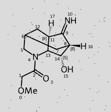 COCC(=O)N1CC2C[C@@H]3C(=N)[C@H](C2)C1[C@H]3O